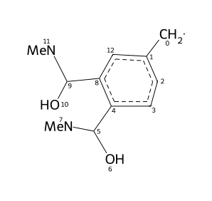 [CH2]c1ccc(C(O)NC)c(C(O)NC)c1